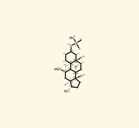 CO[C@@H]1C[C@]2(C)[C@@H](C#N)CC[C@H]2[C@@H]2CC[C@H]3CC(O[Si](C)(C)C(C)(C)C)CC[C@]3(C)C21